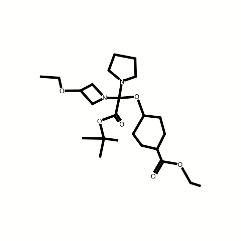 CCOC(=O)C1CCC(OC(C(=O)OC(C)(C)C)(N2CCCC2)N2CC(OCC)C2)CC1